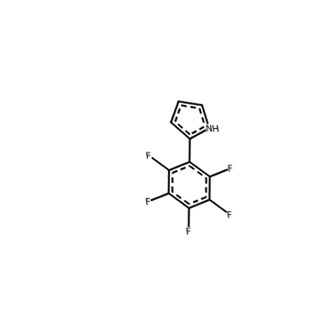 Fc1c(F)c(F)c(-c2ccc[nH]2)c(F)c1F